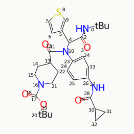 CC(C)(C)NC(=O)C(c1ccsc1)N(C(=O)C1CCN(C(=O)OC(C)(C)C)CC1)c1ccc(NC(=O)C2CC2)cc1